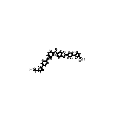 OCc1ccc(-c2ccc(-c3nc4cc(C(=S)c5ccc6oc(-c7ccc(-c8ccc(CO)o8)cc7)nc6c5)ccc4o3)cc2)o1